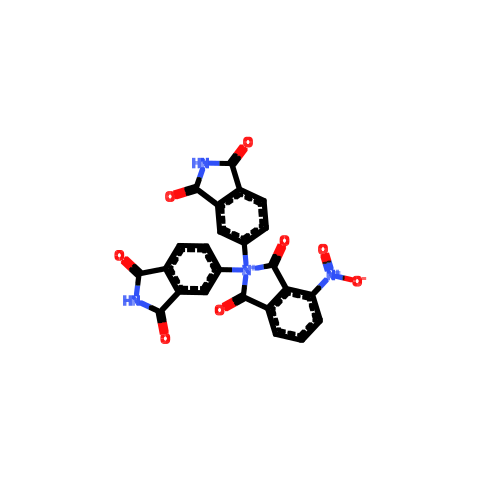 O=C1NC(=O)c2cc([N+]3(c4ccc5c(c4)C(=O)NC5=O)C(=O)c4cccc([N+](=O)[O-])c4C3=O)ccc21